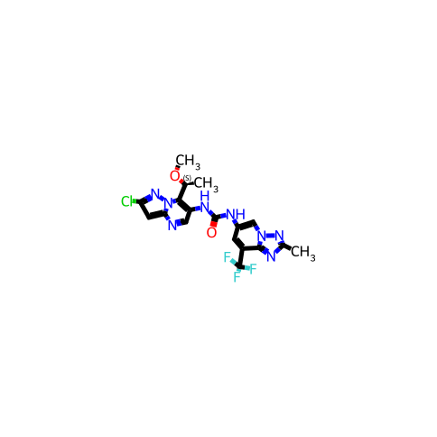 CO[C@@H](C)c1c(NC(=O)Nc2cc(C(F)(F)F)c3nc(C)nn3c2)cnc2cc(Cl)nn12